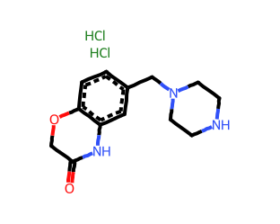 Cl.Cl.O=C1COc2ccc(CN3CCNCC3)cc2N1